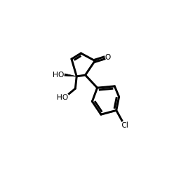 O=C1C=C[C@@](O)(CO)C1c1ccc(Cl)cc1